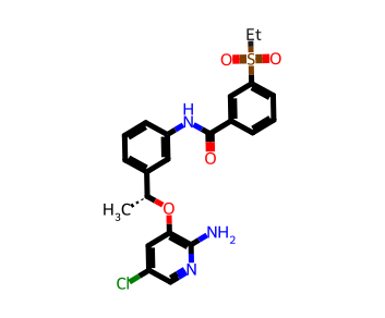 CCS(=O)(=O)c1cccc(C(=O)Nc2cccc([C@@H](C)Oc3cc(Cl)cnc3N)c2)c1